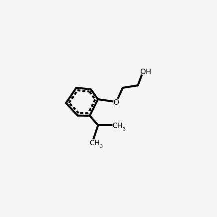 CC(C)c1ccccc1OCCO